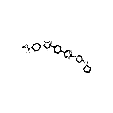 COC(=O)[C@H]1CC[C@H](c2nnc(-c3ccc(-c4cnc(N5CCC(OC6CCCC6)CC5)nc4)cc3)s2)CC1